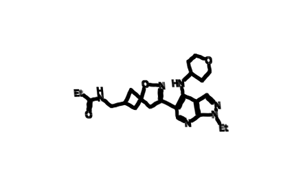 CCC(=O)NCC1CC2(CC(c3cnc4c(cnn4CC)c3NC3CCOCC3)=NO2)C1